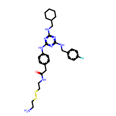 NCCSSCCNC(=O)Cc1ccc(Nc2nc(NCc3ccc(F)cc3)nc(NCC3CCCCC3)n2)cc1